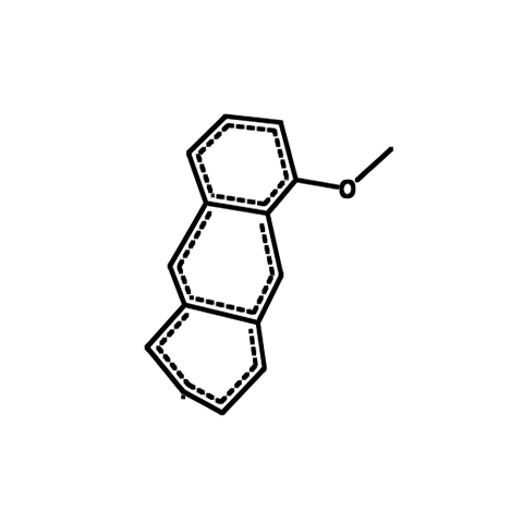 COc1cccc2cc3c[c]ccc3cc12